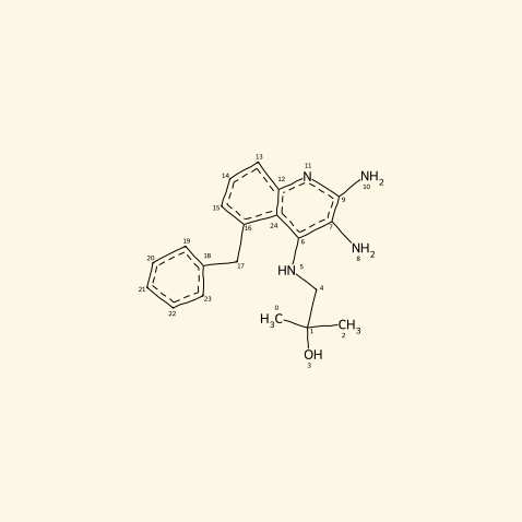 CC(C)(O)CNc1c(N)c(N)nc2cccc(Cc3ccccc3)c12